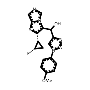 COc1ccc(-n2cc(C(O)c3c([C@@H]4C[C@@H]4F)sc4cncn34)nn2)cc1